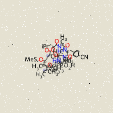 C/C=C(\C)[C@@H](O[Si](C)(C)C(C)(C)C)[C@@H](C)[C@H](C/C=C(\C)C(=O)O[C@H](CC(C)C)C(=O)N[C@@H](C)C(=O)N(C)[C@H](Cc1ccc(C#N)cc1)C(=O)N(C)CC(=O)N[C@H](C(=O)O)[C@H](C)CC)OCSC